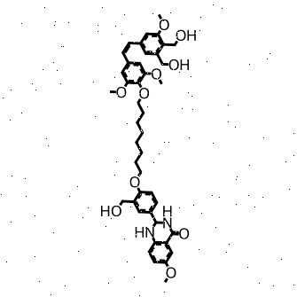 COc1ccc2c(c1)C(=O)NC(c1ccc(OCCCCCCCCOc3c(OC)cc(/C=C\c4cc(CO)c(CO)c(OC)c4)cc3OC)c(CO)c1)N2